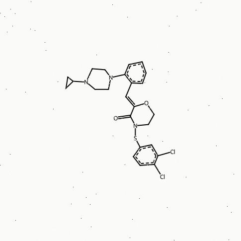 O=C1C(=Cc2ccccc2N2CCN(C3CC3)CC2)OCCN1Sc1ccc(Cl)c(Cl)c1